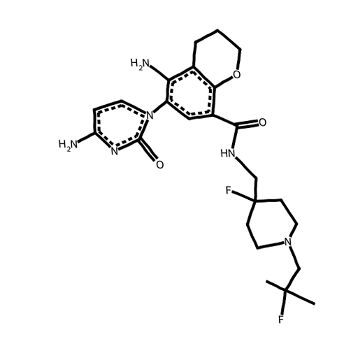 CC(C)(F)CN1CCC(F)(CNC(=O)c2cc(-n3ccc(N)nc3=O)c(N)c3c2OCCC3)CC1